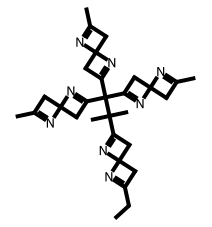 CCC1=NC2(C1)CC(C(C)(C)C(C1=NC3(CC(C)=N3)C1)(C1=NC3(CC(C)=N3)C1)C1=NC3(CC(C)=N3)C1)=N2